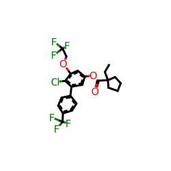 CCC1(C(=O)Oc2cc(OCC(F)(F)F)c(Cl)c(-c3ccc(C(F)(F)F)cc3)c2)CCCC1